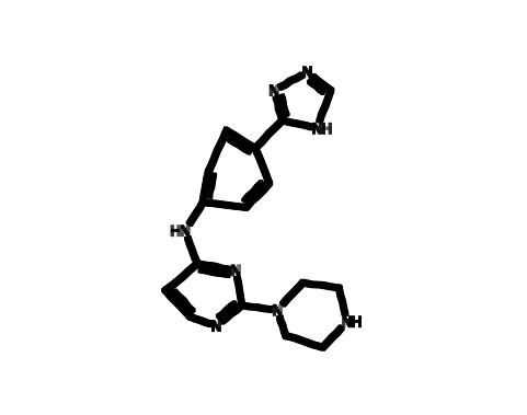 c1cc(Nc2ccc(-c3nnc[nH]3)cc2)nc(N2CCNCC2)n1